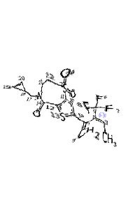 C=C(/C(=C\C)C(F)(F)F)c1cc2c(s1)C(=O)N(CC1CC1)CCS2(=O)=O